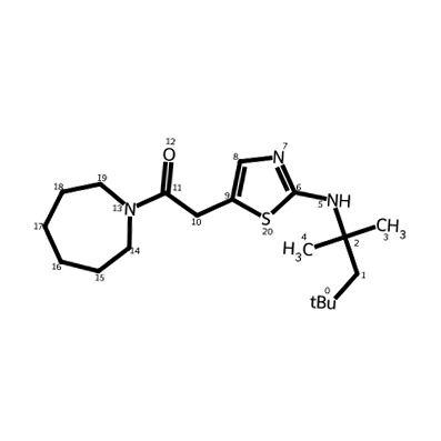 CC(C)(C)CC(C)(C)Nc1ncc(CC(=O)N2CCCCCC2)s1